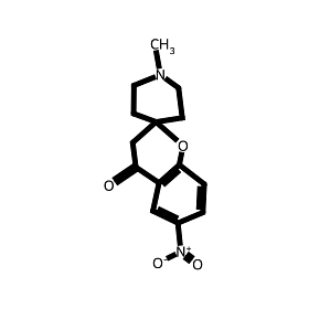 CN1CCC2(CC1)CC(=O)c1cc([N+](=O)[O-])ccc1O2